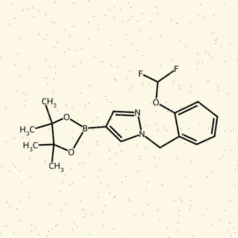 CC1(C)OB(c2cnn(Cc3ccccc3OC(F)F)c2)OC1(C)C